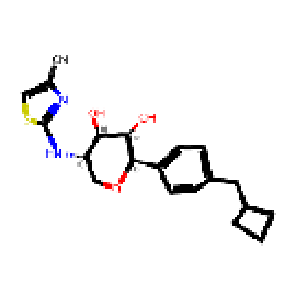 N#Cc1csc(N[C@H]2CO[C@H](c3ccc(CC4CCC4)cc3)[C@H](O)[C@@H]2O)n1